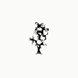 C[C@H]1CN(C(=O)c2cc(C3CC3)nn2CC(F)(F)F)Cc2cnc(C(C)(O)C(F)(F)F)n21